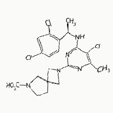 Cc1nc(N2CC3(CCN(C(=O)O)C3)C2)nc(N[C@H](C)c2ccc(Cl)cc2Cl)c1Cl